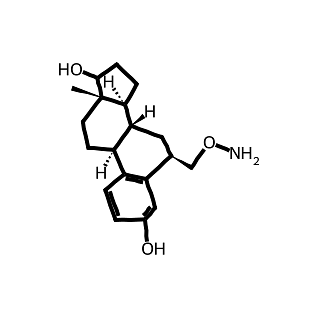 C[C@]12CC[C@@H]3c4ccc(O)cc4[C@H](CON)C[C@H]3[C@@H]1CCC2O